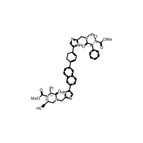 C#CCCN(Cc1ncc(-c2ccc3cc(C4=CC=C(c5cnc(CN(CCC)C(=O)[C@@H](c6ccccc6)N(CC)C(=O)OC)[nH]5)CC4)ccc3c2)[nH]1)C(=O)[C@@H](NC(=O)OC)C(C)C